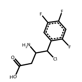 NC(CC(=O)O)C(Cl)c1cc(F)c(F)cc1F